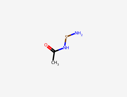 CC(=O)NSN